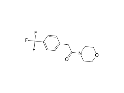 O=C(Cc1ccc(C(F)(F)F)cc1)N1CCOCC1